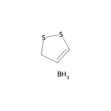 B.C1=CSSC1